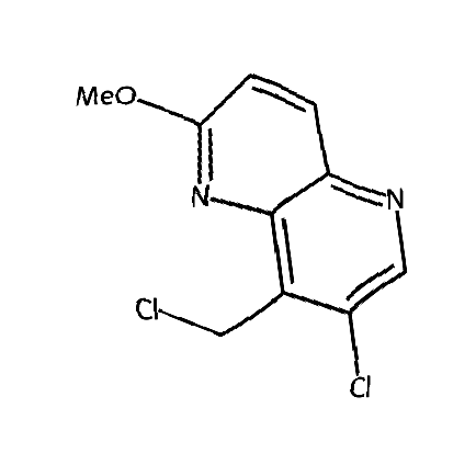 COc1ccc2ncc(Cl)c(CCl)c2n1